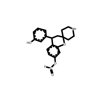 O=S(F)Oc1ccc2c(c1)OC1(CCNCC1)CC2c1cccc(O)c1